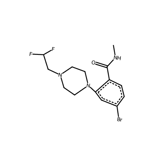 CNC(=O)c1ccc(Br)cc1N1CCN(CC(F)F)CC1